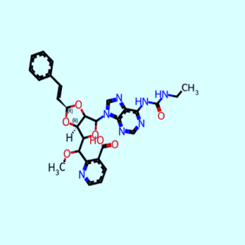 CCNC(=O)Nc1ncnc2c1ncn2C1OC(C(OC)c2ncccc2C(=O)O)[C@H]2O[C@@H](C=Cc3ccccc3)OC12